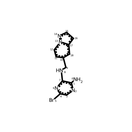 Nc1ncc(Br)nc1NCc1ccn2nccc2c1